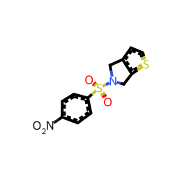 O=[N+]([O-])c1ccc(S(=O)(=O)N2Cc3ccsc3C2)cc1